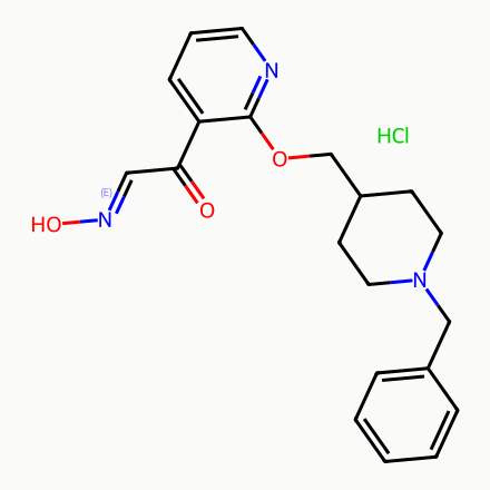 Cl.O=C(/C=N/O)c1cccnc1OCC1CCN(Cc2ccccc2)CC1